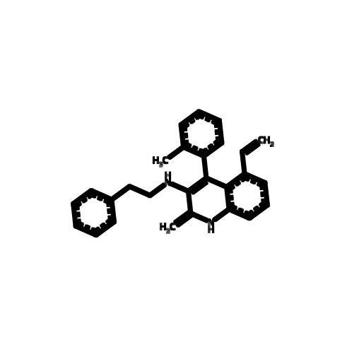 C=Cc1cccc2c1C(c1ccccc1C)=C(NCCc1ccccc1)C(=C)N2